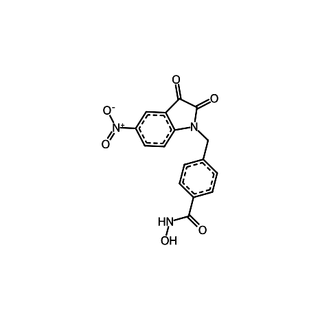 O=C(NO)c1ccc(CN2C(=O)C(=O)c3cc([N+](=O)[O-])ccc32)cc1